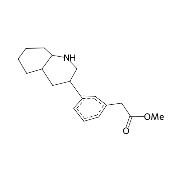 COC(=O)Cc1cccc(C2CNC3CCCCC3C2)c1